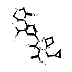 NC(=O)[C@H](C(=O)Nc1ccc(N2CCOCC2=O)c(C(F)F)c1)N(CC1CC1)C1CCC1